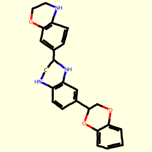 c1ccc2c(c1)OCC(c1ccc3c(c1)NC(c1ccc4c(c1)OCCN4)CN3)O2